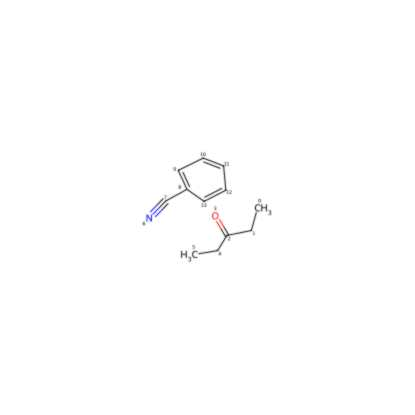 CCC(=O)CC.N#Cc1ccccc1